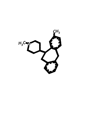 Cc1ccc2c(c1)C(C1CCN(C)CC1)Cc1ccccc1C2